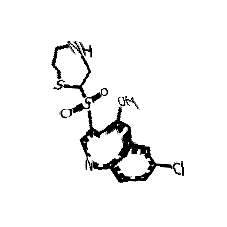 O=S(=O)(c1cnc2ccc(Cl)cc2c1O)C1CNCCS1